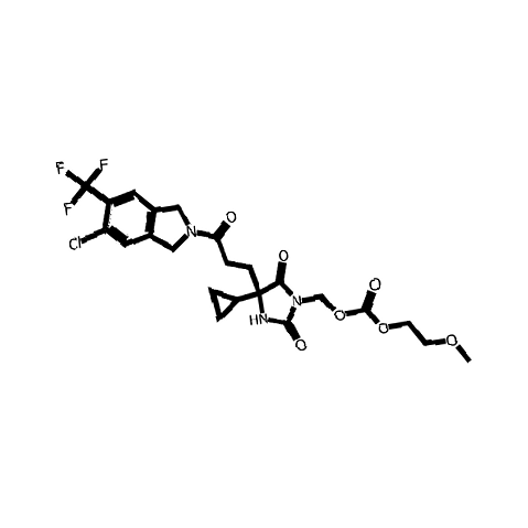 COCCOC(=O)OCN1C(=O)NC(CCC(=O)N2Cc3cc(Cl)c(C(F)(F)F)cc3C2)(C2CC2)C1=O